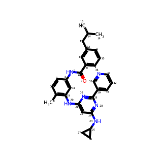 Cc1ccc(NC(=O)c2cccc(CC(C)C#N)c2)cc1Nc1cc(NC2CC2)nc(-c2cccnc2)n1